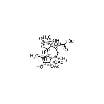 CC[C@H](C)C(=O)O[C@H]1C[C@](C)(OC(C)=O)[C@@H]2C(=C(C)[C@@H](O)[C@H]2OC(C)=O)[C@@H]2OC(=O)[C@@](C)(O)[C@@]12O